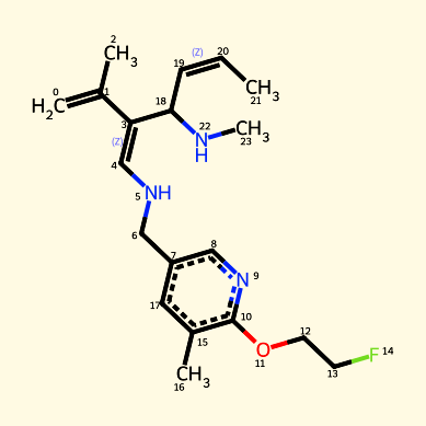 C=C(C)/C(=C/NCc1cnc(OCCF)c(C)c1)C(/C=C\C)NC